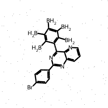 Bc1c(B)c(B)c(-c2nc(-c3ccc(Br)cc3)nc3cccnc23)c(B)c1B